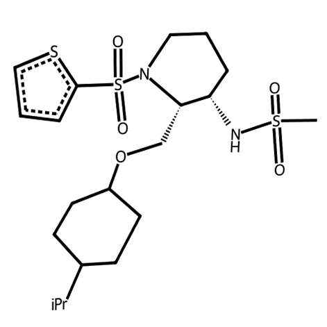 CC(C)C1CCC(OC[C@H]2[C@@H](NS(C)(=O)=O)CCCN2S(=O)(=O)c2cccs2)CC1